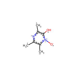 Cc1nc(C)c(O)[n+]([O-])c1C